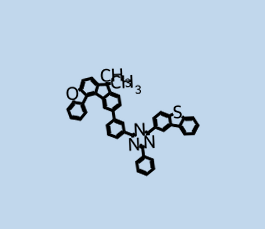 CC1(C)c2ccc(-c3cccc(-c4nc(-c5ccccc5)nc(-c5ccc6sc7ccccc7c6c5)n4)c3)cc2-c2c1ccc1oc3ccccc3c21